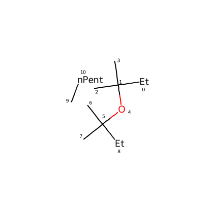 CCC(C)(C)OC(C)(C)CC.CCCCCC